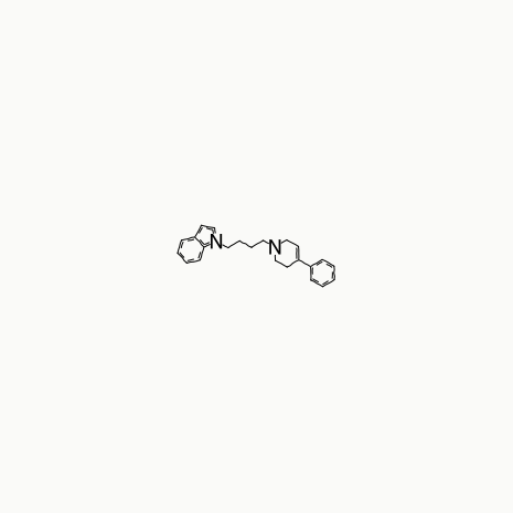 C1=C(c2ccccc2)CCN(CCCCn2ccc3ccccc32)C1